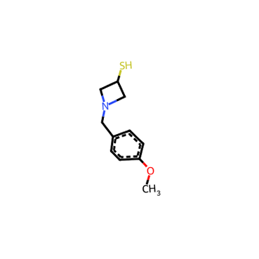 COc1ccc(CN2CC(S)C2)cc1